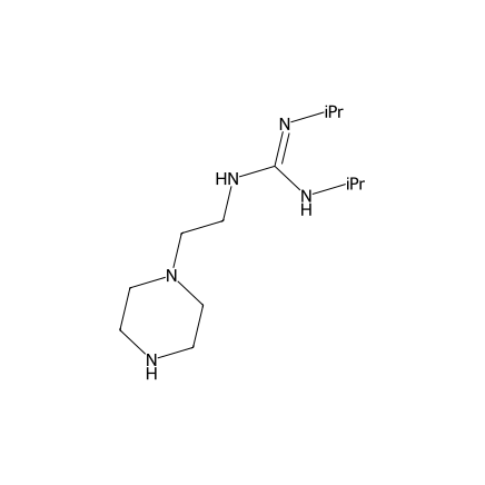 CC(C)/N=C(/NCCN1CCNCC1)NC(C)C